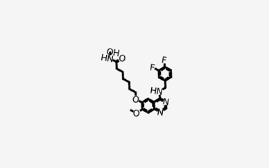 COc1cc2ncnc(NCc3ccc(F)c(F)c3)c2cc1OCCCCCCC(=O)NO